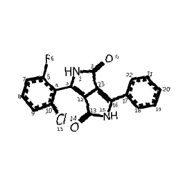 O=C1NC(c2c(F)cccc2Cl)=C2C(=O)NC(c3ccccc3)=C12